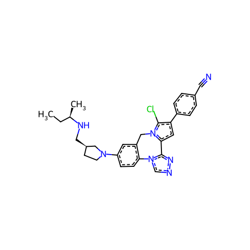 CC[C@@H](C)NC[C@@H]1CCN(c2ccc3c(c2)Cn2c(cc(-c4ccc(C#N)cc4)c2Cl)-c2nncn2-3)C1